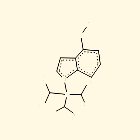 CSc1cccc2c1ccn2[Si](C(C)C)(C(C)C)C(C)C